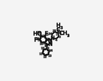 CC1(C)CCN(n2nc(-c3ccccc3)c3cc(F)c(O)c(F)c32)CC1